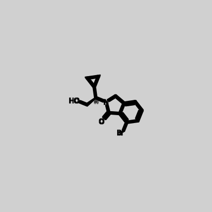 O=C1c2c(Br)cccc2CN1[C@@H](CO)C1CC1